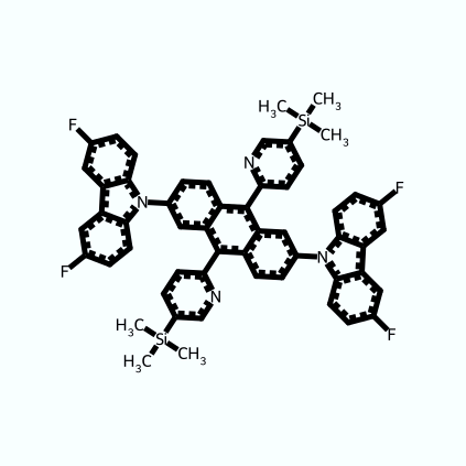 C[Si](C)(C)c1ccc(-c2c3ccc(-n4c5ccc(F)cc5c5cc(F)ccc54)cc3c(-c3ccc([Si](C)(C)C)cn3)c3ccc(-n4c5ccc(F)cc5c5cc(F)ccc54)cc23)nc1